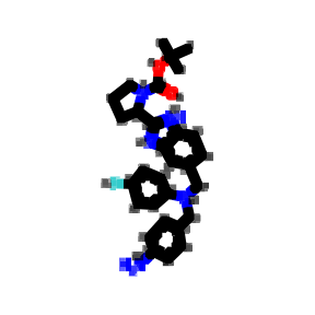 CC(C)(C)OC(=O)N1CCCC1c1nc2cc(CN(Cc3ccc(N)cc3)c3ccc(F)cc3)ccc2[nH]1